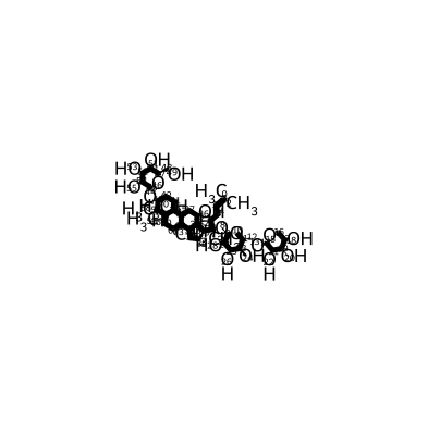 CC(C)=CCC[C@](C)(O[C@@H]1O[C@H](CO[C@@H]2OC[C@@H](O)[C@H](O)[C@H]2O)[C@@H](O)[C@H](O)[C@H]1O)[C@H]1CC[C@]2(C)[C@@H]1[C@H](O)C[C@@H]1[C@@]3(C)CC[C@H](O[C@@H]4O[C@H](CO)[C@@H](O)[C@H](O)[C@H]4O)C(C)(C)[C@@H]3CC[C@]12C